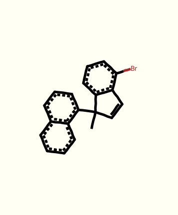 CC1(c2cccc3ccccc23)C=Cc2c(Br)cccc21